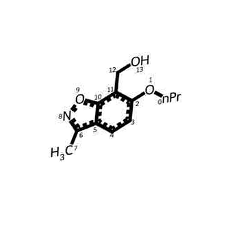 CCCOc1ccc2c(C)noc2c1CO